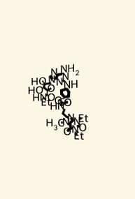 CCNC(=O)[C@@H]1O[C@@H](n2cnc3c(N)nc(Nc4ccc(S(=O)(=O)NCCc5nc6c(c(=O)n(CC)c(=O)n6CC)n5C)cc4)nc32)[C@H](O)[C@@H]1O